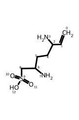 C=CC(N)CCC(N)CS(=O)(=O)O